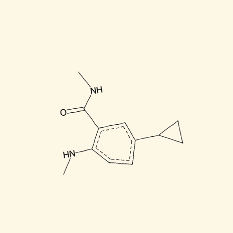 CNC(=O)c1cc(C2CC2)ccc1NC